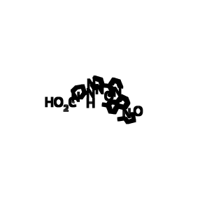 Cc1ccc2c(N3C(=O)CCC3C)cccc2c1Oc1ncccc1-c1ccnc(NC2CCCN(C(=O)O)C2)n1